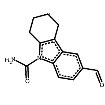 NC(=O)n1c2c(c3cc(C=O)ccc31)C[C]CC2